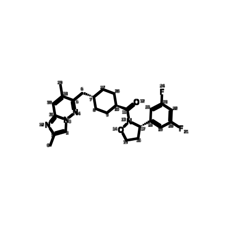 Cc1cn2nc(C[C@H]3CC[C@H](C(=O)N4OCC[C@H]4c4cc(F)cc(F)c4)CC3)c(C)cc2n1